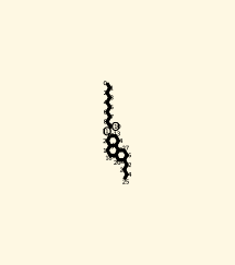 CCCCCCCCCC(=O)OC1CCC2C(CCC3CC(CCCC)CCC32)C1